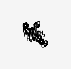 C[C@H](Nc1nc(N2CCOCC2)cc(-n2c(C(F)F)nc3ccccc32)n1)C(=O)N(C)Cc1ccc2c(c1)OCCO2